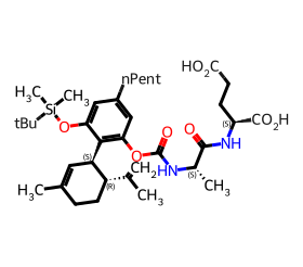 C=C(C)[C@@H]1CCC(C)=C[C@H]1c1c(OC(=O)N[C@@H](C)C(=O)N[C@@H](CCC(=O)O)C(=O)O)cc(CCCCC)cc1O[Si](C)(C)C(C)(C)C